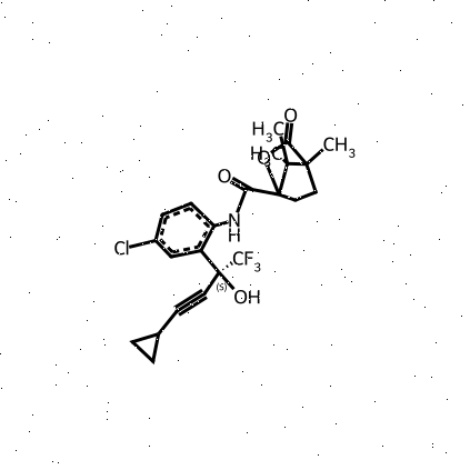 CC12CCC(C(=O)Nc3ccc(Cl)cc3[C@@](O)(C#CC3CC3)C(F)(F)F)(OC1=O)C2(C)C